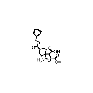 COC(=O)CC(C(=O)O)C1(C(N)=O)CCC(C(=O)OCc2ccccc2)CC1